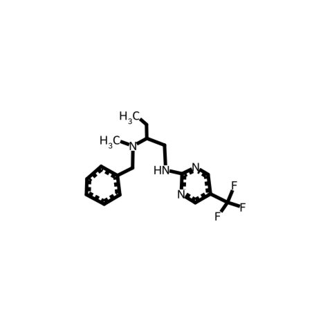 CCC(CNc1ncc(C(F)(F)F)cn1)N(C)Cc1ccccc1